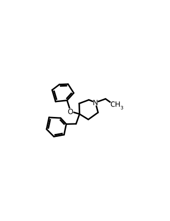 CCN1CCC(Cc2ccccc2)(Oc2ccccc2)CC1